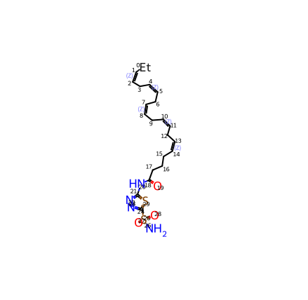 CC/C=C\C/C=C\C/C=C\C/C=C\C/C=C\CCCC(=O)Nc1nnc(S(N)(=O)=O)s1